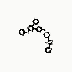 c1ccc(-c2cnc(Nc3ccccn3)nc2-c2ccc(CN3CCC(c4nnc(-c5ccccn5)[nH]4)CC3)cc2)cc1